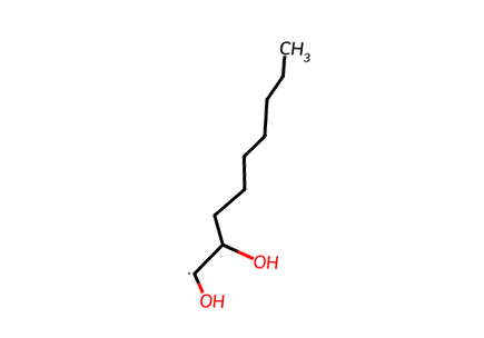 CCCCCCCC(O)[CH]O